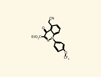 CCOC(=O)c1nn(-c2ccc(OC(F)(F)F)cc2)c2cccc(CC#N)c2c1=O